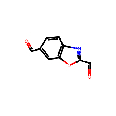 O=Cc1ccc2nc(C=O)oc2c1